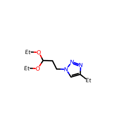 CCOC(CCn1cc(CC)nn1)OCC